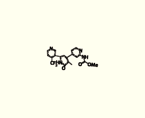 COC(=O)Nc1cc(-c2cc(-c3cnccc3C(F)(F)F)[nH]c(=O)c2C)ccn1